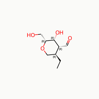 CC[C@H]1CO[C@H](CO)[C@H](O)[C@@H]1C=O